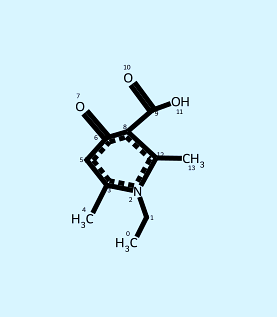 CCn1c(C)cc(=O)c(C(=O)O)c1C